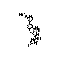 Cc1cnc(-c2ccnc(C(C)(C)O)n2)cc1-c1n[nH]c2nc(Nc3ncc(F)cc3F)nc(C)c12